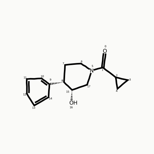 O=C(C1CC1)N1CC[C@@H](c2ccccc2)[C@@H](O)C1